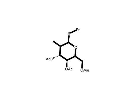 CCS[C@H]1OC(COC)[C@@H](OC(C)=O)[C@H](OC(C)=O)C1C